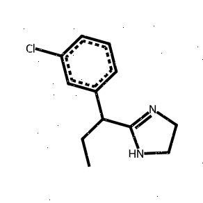 CCC(C1=NCCN1)c1cccc(Cl)c1